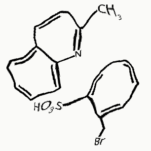 Cc1ccc2ccccc2n1.O=S(=O)(O)c1ccccc1Br